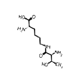 C[C@@H](O)[C@H](N)C(=O)NCCCC[C@H](N)C(=O)O